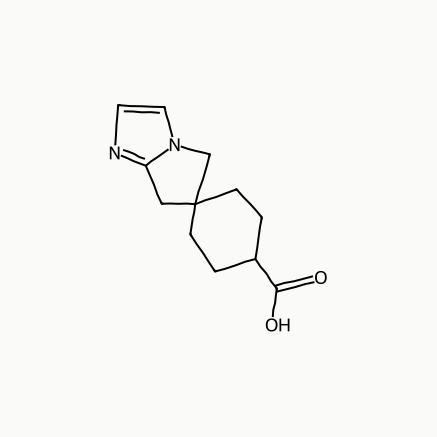 O=C(O)C1CCC2(CC1)Cc1nccn1C2